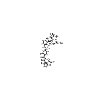 CCCC(=O)N1[C@@H]2CC[C@@H](C2)[C@H]1c1ncc(-c2ccc(-c3ccc4c(ccc5nc(CN(C(=O)CN(C=O)OC)[C@H](C)C(C)C)[nH]c54)c3)cc2F)[nH]1